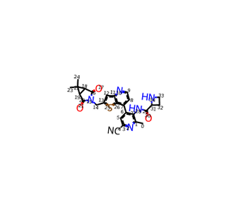 Cc1nc(C#N)cc(-c2ccnc3cc(CN4C(=O)C5C(C4=O)C5(C)C)sc23)c1NC(=O)C1CCN1